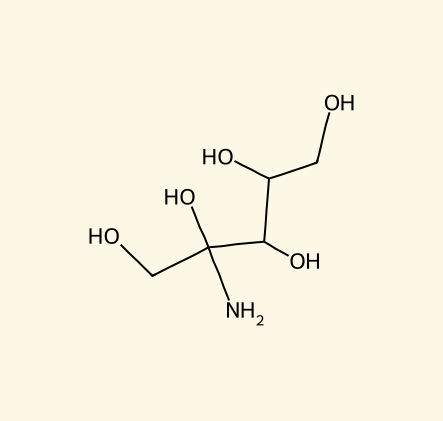 NC(O)(CO)C(O)C(O)CO